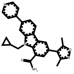 Cc1noc(C)c1-c1cc(C(N)=O)c2c(c1)c1ccc(-c3ccncc3)cc1n2CC1CC1